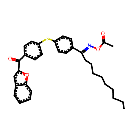 CCCCCCCCCC(=NOC(C)=O)c1ccc(Sc2ccc(C(=O)c3cc4ccccc4o3)cc2)cc1